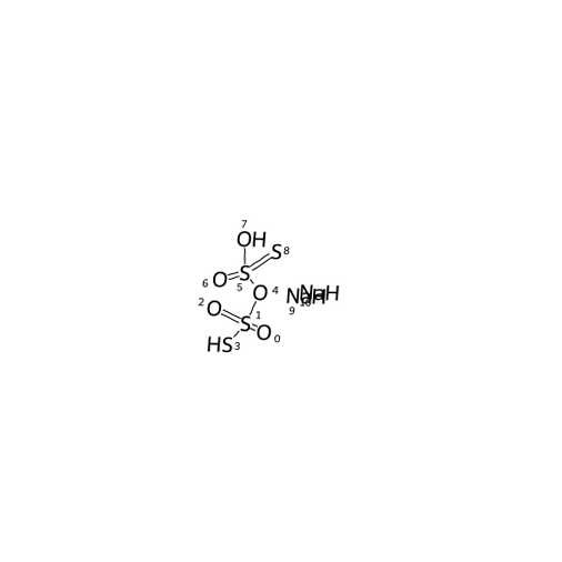 O=S(=O)(S)OS(=O)(O)=S.[NaH].[NaH]